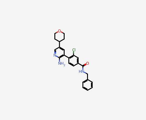 Nc1ncc(C2CCOCC2)cc1-c1ccc(C(=O)NCc2ccccc2)cc1Cl